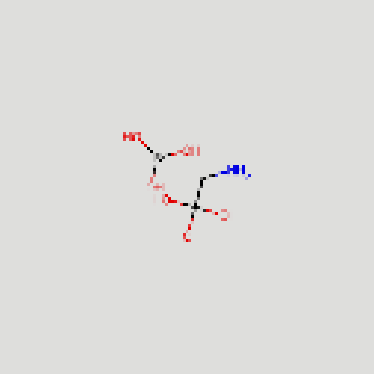 NCC(O)(O)O.OB(O)O